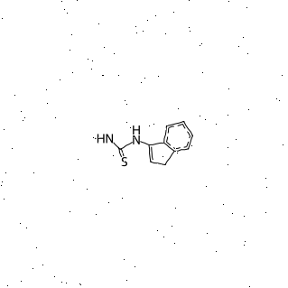 [NH]C(=S)NC1=CCc2ccccc21